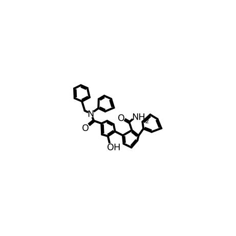 NC(=O)c1c(-c2ccccc2)cccc1-c1ccc(C(=O)N(Cc2ccccc2)c2ccccc2)cc1O